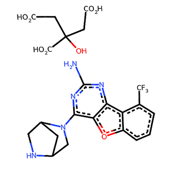 Nc1nc(N2CC3CC2CN3)c2oc3cccc(C(F)(F)F)c3c2n1.O=C(O)CC(O)(CC(=O)O)C(=O)O